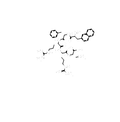 N=C(N)NCCC[C@H](NC(=O)[C@H](CCCNC(=N)N)NC(=O)[C@H](Cc1ccccc1)NC(=O)[C@@H](N)Cc1ccc2ccccc2c1)C(=O)N[C@@H](CN)C(=O)O